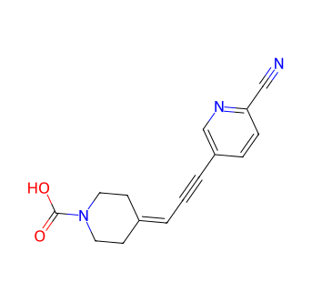 N#Cc1ccc(C#CC=C2CCN(C(=O)O)CC2)cn1